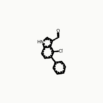 O=Cc1c[nH]c2ccc(-c3ccccc3)c(Cl)c12